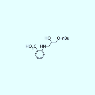 CCCCOCC(O)CNc1ccccc1C(=O)O